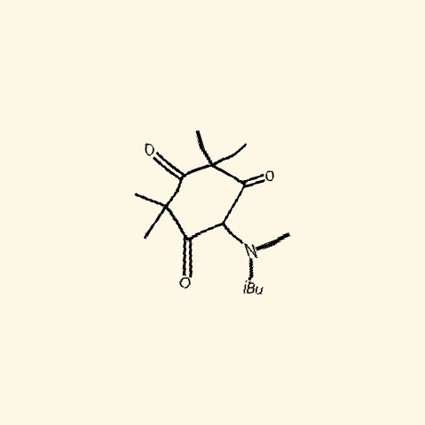 CCC(C)N(C)C1C(=O)C(C)(C)C(=O)C(C)(C)C1=O